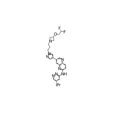 CC(C)c1cnnc(Nc2ccc3ncc(-c4cnn(CCCN5CC(OCC(F)F)C5)c4)cc3n2)c1